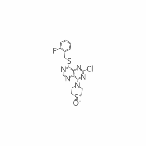 [O-][S+]1CCN(c2nc(Cl)nc3c(SCc4ccccc4F)ncnc23)CC1